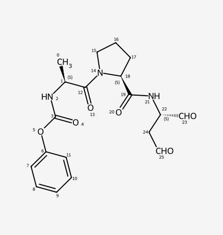 C[C@H](NC(=O)Oc1ccccc1)C(=O)N1CCC[C@H]1C(=O)N[C@H](C=O)CC=O